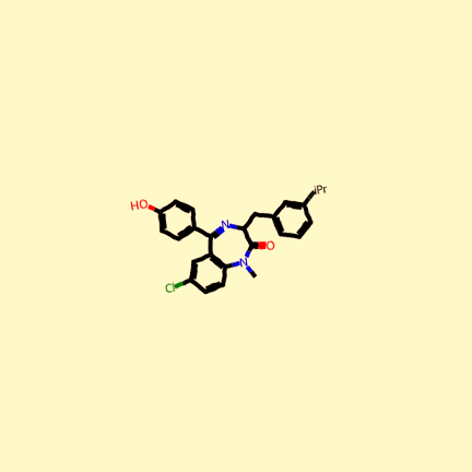 CC(C)c1cccc(CC2N=C(c3ccc(O)cc3)c3cc(Cl)ccc3N(C)C2=O)c1